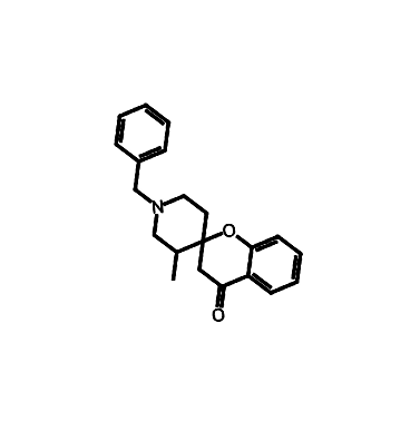 CC1CN(Cc2ccccc2)CCC12CC(=O)c1ccccc1O2